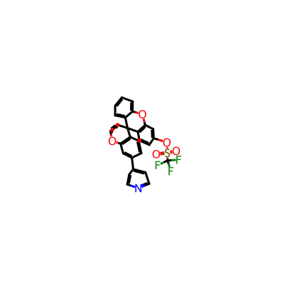 O=S(=O)(Oc1ccc2c(c1)Oc1ccccc1C21c2ccccc2Oc2cc(-c3ccncc3)ccc21)C(F)(F)F